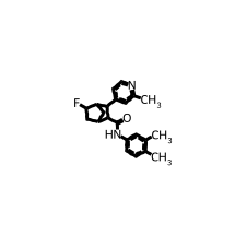 Cc1cc(C2C3CC(CC3F)C2C(=O)Nc2ccc(C)c(C)c2)ccn1